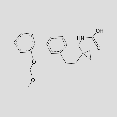 COCOc1ccccc1-c1ccc2c(c1)CCC1(CC1)C2NC(=O)O